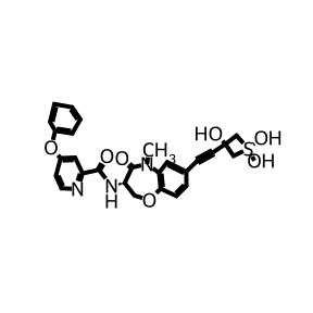 CN1C(=O)[C@@H](NC(=O)c2cc(Oc3ccccc3)ccn2)COc2ccc(C#CC3(O)CS(O)(O)C3)cc21